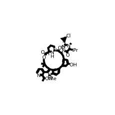 CCn1c(-c2cccnc2[C@H](C)OC)c2c3cc(ccc31)-c1cc(O)cc(c1)C[C@H](NC(=O)C(C(C)C)N(C)C(=O)[C@H]1C[C@@H]1Cl)C(=O)N1CCC[C@H](N1)C(=O)OCC(C)(C)C2